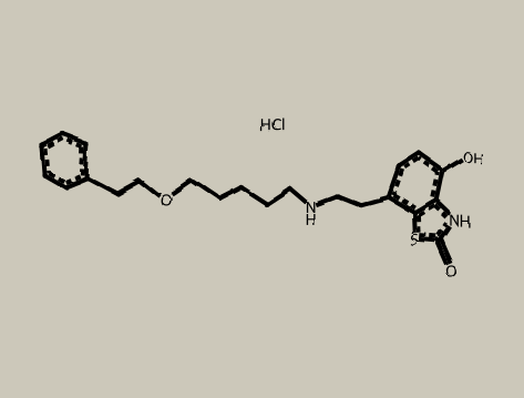 Cl.O=c1[nH]c2c(O)ccc(CCNCCCCCOCCc3ccccc3)c2s1